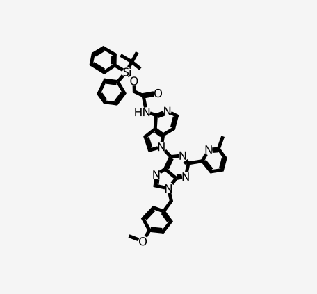 COc1ccc(Cn2cnc3c(-n4ccc5c(NC(=O)CO[Si](c6ccccc6)(c6ccccc6)C(C)(C)C)nccc54)nc(-c4cccc(C)n4)nc32)cc1